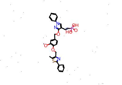 COc1cc(COc2nn(-c3ccccc3)cc2/C=C/P(=O)(O)O)ccc1OCc1nc(-c2ccccc2)sc1C